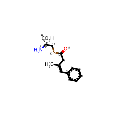 CC(=Cc1ccccc1)CC(=O)SC[C@H](N)C(=O)O